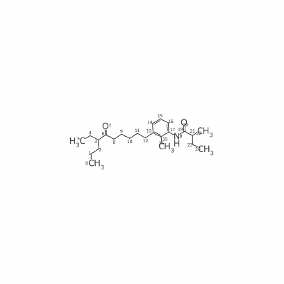 CCCC(CC)C(=O)CCCCCc1cccc(NC(=O)C(C)CC)c1C